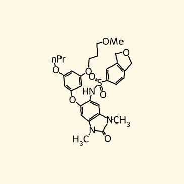 CCCOc1cc(OCCCOC)cc(Oc2cc3c(cc2NS(=O)(=O)c2ccc4c(c2)COC4)n(C)c(=O)n3C)c1